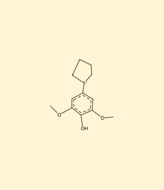 COc1cc([S+]2CCCC2)cc(OC)c1O